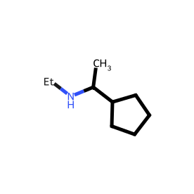 CCN[C](C)C1CCCC1